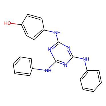 Oc1ccc(Nc2nc(Nc3ccccc3)nc(Nc3ccccc3)n2)cc1